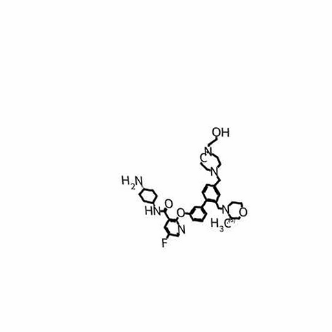 C[C@H]1COCCN1Cc1cc(CN2CCCN(CCO)CC2)ccc1-c1cccc(Oc2ncc(F)cc2C(=O)N[C@H]2CC[C@H](N)CC2)c1